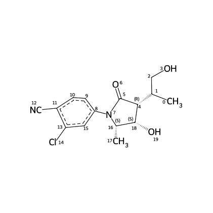 CC(CO)[C@H]1C(=O)N(c2ccc(C#N)c(Cl)c2)[C@@H](C)[C@H]1O